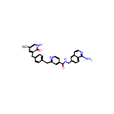 N#Cc1c[nH]c(=O)c(Cc2ccc(Cc3cc(C(=O)NCc4ccc5c(N)nccc5c4)ccn3)cc2)c1